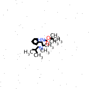 CCC(CC)CN(C)C(C)[C@@H](NC(=O)OC(C)(C)C)c1ccccc1